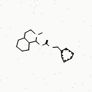 CN1CCC2CCCCC2C1NC(=O)OCc1ccccc1